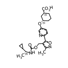 Cc1noc(-c2ccc(O[C@H]3CCC[C@H](C(=O)O)C3)cn2)c1COC(=O)N[C@H](C)C1CC1